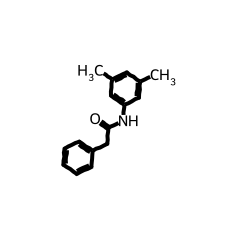 Cc1cc(C)cc(NC(=O)Cc2ccccc2)c1